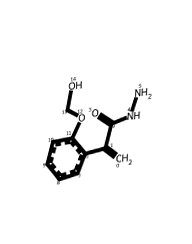 C=C(C(=O)NN)c1ccccc1OCO